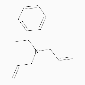 C=CCN(CC)CC=C.c1ccccc1